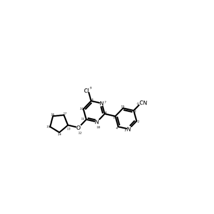 N#Cc1cncc(-c2nc(Cl)cc(OC3CCCC3)n2)c1